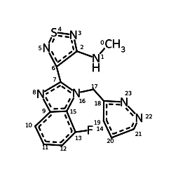 CNc1nsnc1-c1nc2cccc(F)c2n1Cc1cccnn1